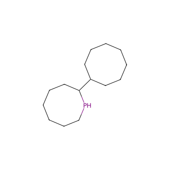 C1CCCC(C2CCCCCCP2)CCC1